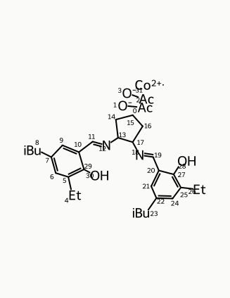 CC(=O)[O-].CC(=O)[O-].CCc1cc(C(C)CC)cc(C=NC2CCCC2N=Cc2cc(C(C)CC)cc(CC)c2O)c1O.[Co+2]